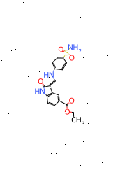 CCOC(=O)c1ccc2c(c1)C(=CNc1ccc(S(N)(=O)=O)cc1)C(=O)N2